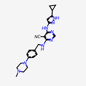 CN1CCN(c2ccc(CNc3ncnc(Nc4cc(C5CC5)[nH]n4)c3C#N)cc2)CC1